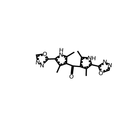 Cc1[nH]c(-c2nnco2)c(C)c1C(=O)c1c(C)[nH]c(-c2nnco2)c1C